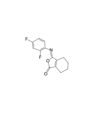 O=C1OC(=Nc2ccc(F)cc2F)C2=C1CCCC2